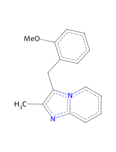 COc1ccccc1Cc1c(C)nc2ccccn12